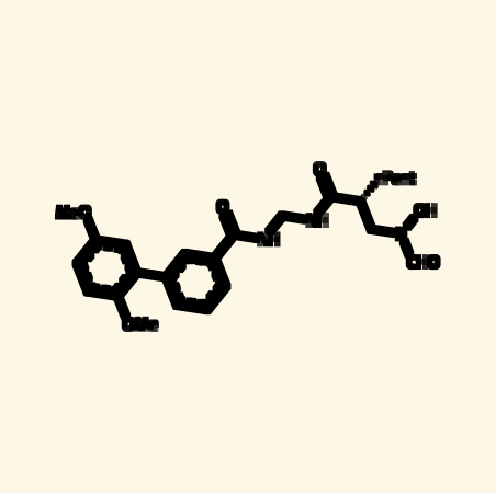 CCCCC[C@H](CN(O)C=O)C(=O)NCNC(=O)c1cccc(-c2cc(OC)ccc2OC)c1